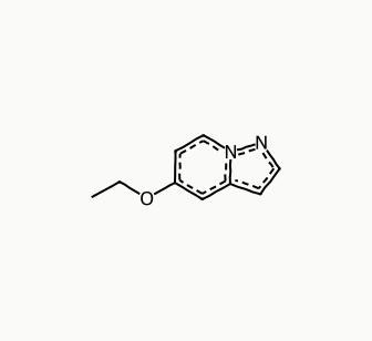 CCOc1ccn2nccc2c1